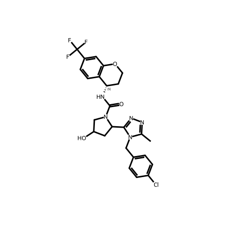 Cc1nnc(C2CC(O)CN2C(=O)N[C@H]2CCOc3cc(C(F)(F)F)ccc32)n1Cc1ccc(Cl)cc1